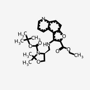 CCOC(=O)c1oc2ccc3ncccc3c2c1NC[C@H]1COC(C)(C)N1C(=O)OC(C)(C)C